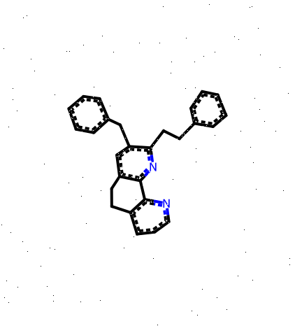 c1ccc(CCc2nc3c(cc2Cc2ccccc2)CCc2cccnc2-3)cc1